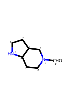 O=CN1CCC2NCCC2C1